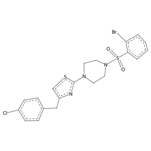 O=S(=O)(c1ccccc1Br)N1CCN(c2nc(Cc3ccc(Cl)cc3)cs2)CC1